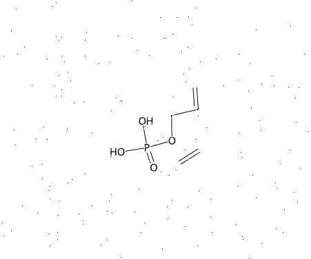 C=C.C=CCOP(=O)(O)O